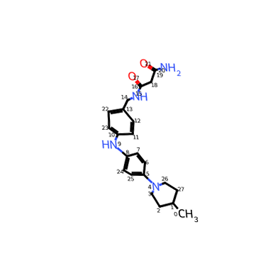 CC1CCN(c2ccc(Nc3ccc(CNC(=O)CC(N)=O)cc3)cc2)CC1